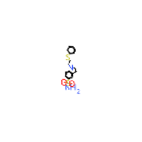 NS(=O)(=O)c1ccc2c(c1)CCN2CCSc1ccccc1